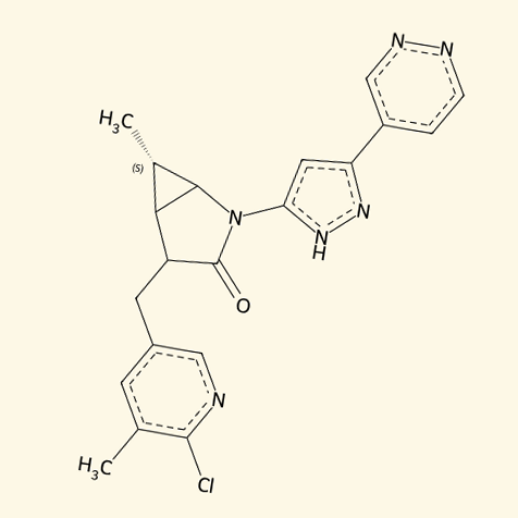 Cc1cc(CC2C(=O)N(c3cc(-c4ccnnc4)n[nH]3)C3C2[C@@H]3C)cnc1Cl